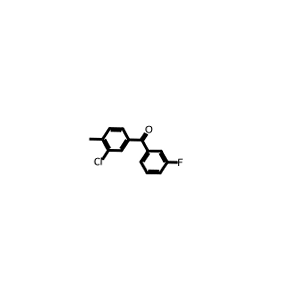 Cc1ccc(C(=O)c2cccc(F)c2)cc1Cl